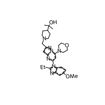 CCc1nc2cc(OC)ccc2n1-c1cc(N2CCOCC2)n2nc(CN3CCC(C(C)(C)O)CC3)cc2n1